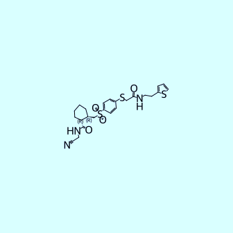 N#CCNC(=O)[C@@H]1CCCC[C@H]1CS(=O)(=O)c1ccc(SCC(=O)NCCc2cccs2)cc1